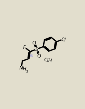 Cl.NC/C=C(\F)S(=O)(=O)c1ccc(Cl)cc1